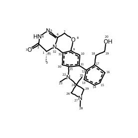 C[C@@H]1C(=O)NN=C2COc3cc(-c4ccccc4CCO)c(N(C)C4(C)CN(C)C4)cc3N21